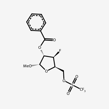 CO[C@H]1O[C@H](COS(=O)(=O)C(F)(F)F)[C@H](F)[C@H]1OC(=O)c1ccccc1